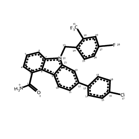 NC(=O)c1cccc2c1c1[c]cc(-c3ccc(Cl)cc3)cc1n2Cc1ccc(F)cc1C(F)(F)F